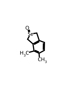 Cc1ccc2c(c1C)C[Se](=O)C2